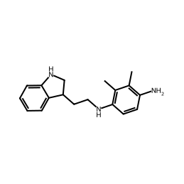 Cc1c(N)ccc(NCCC2CNc3ccccc32)c1C